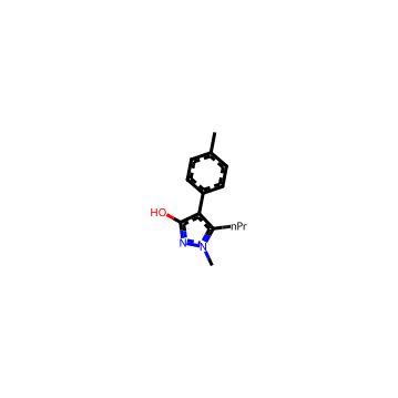 CCCc1c(-c2ccc(C)cc2)c(O)nn1C